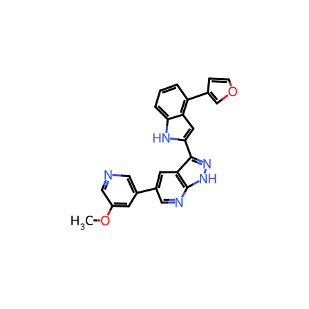 COc1cncc(-c2cnc3[nH]nc(-c4cc5c(-c6ccoc6)cccc5[nH]4)c3c2)c1